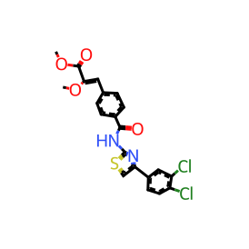 COC(=O)/C(=C/c1ccc(C(=O)Nc2nc(-c3ccc(Cl)c(Cl)c3)cs2)cc1)OC